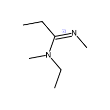 CC/C(=N/C)N(C)CC